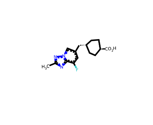 Cc1nc2c(F)cc(C[C@H]3CC[C@H](C(=O)O)CC3)cn2n1